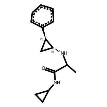 CC(N[C@@H]1C[C@H]1c1ccccc1)C(=O)NC1CC1